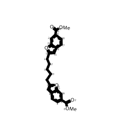 COC(=O)c1ccc2cc(CCCCCc3cc4ccc(C(=O)OC)cc4o3)oc2c1